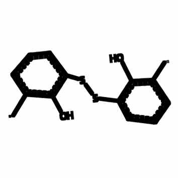 [CH2]c1cccc(SSc2cccc([CH2])c2O)c1O